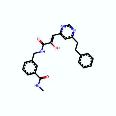 CNC(=O)c1cccc(CNC(=O)/C(O)=C/c2cc(CCc3ccccc3)ncn2)c1